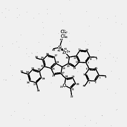 Cc1cc(C)cc(-c2c(C)ccc3c2C=C(C2C(c4ccc(C)o4)=Cc4c2ccc(C)c4-c2cc(C)cc(C)c2)[CH]3[Zr+2]=[Si](C)C)c1.[Cl-].[Cl-]